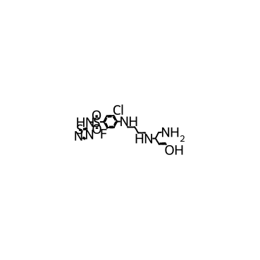 NCC(/C=C/O)NCCCCNc1cc(F)c(S(=O)(=O)Nc2ncns2)cc1Cl